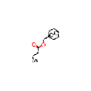 CC(C)CCC(=O)OCC12CCC(CC1)CC2